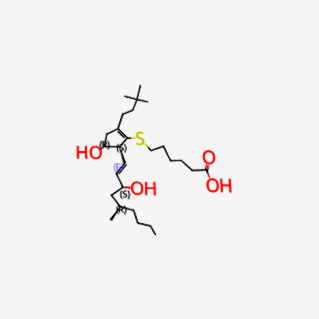 CCCC[C@@H](C)C[C@H](O)/C=C/[C@@H]1C(SCCCCCC(=O)O)=C(CCC(C)(C)C)C[C@H]1O